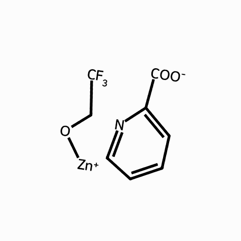 FC(F)(F)C[O][Zn+].O=C([O-])c1ccccn1